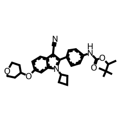 CC(OC(=O)Nc1ccc(-c2c(C#N)c3ccc(OC4CCOCC4)cc3n2C2CCC2)cc1)C(C)(C)C